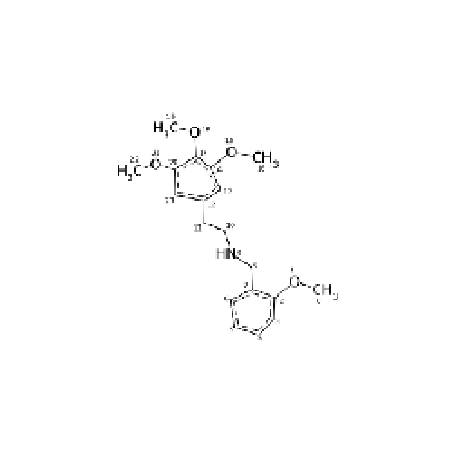 COc1ccccc1CNCCc1cc(OC)c(OC)c(OC)c1